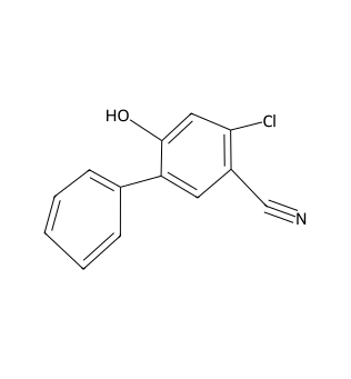 N#Cc1cc(-c2ccccc2)c(O)cc1Cl